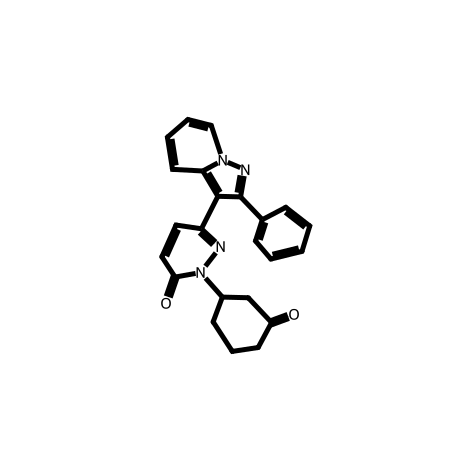 O=C1CCCC(n2nc(-c3c(-c4ccccc4)nn4ccccc34)ccc2=O)C1